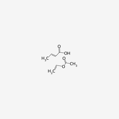 C=COC(C)=O.CC=CC(=O)O